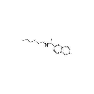 CCCCCCN=C(C)c1ccc2c[c]ccc2c1